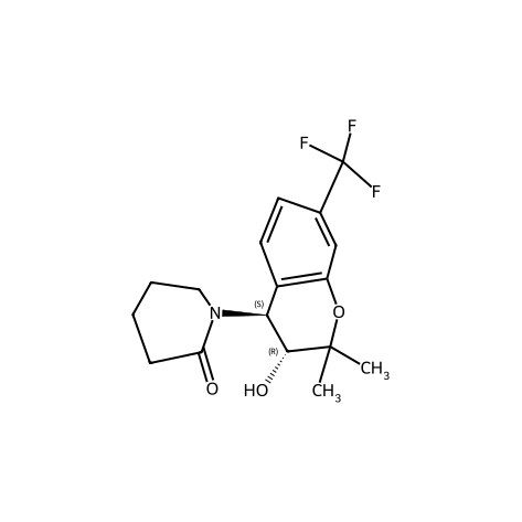 CC1(C)Oc2cc(C(F)(F)F)ccc2[C@H](N2CCCCC2=O)[C@H]1O